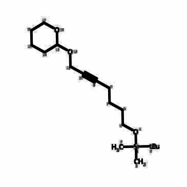 CC(C)(C)[Si](C)(C)OCCCCC#CCOC1CCCCO1